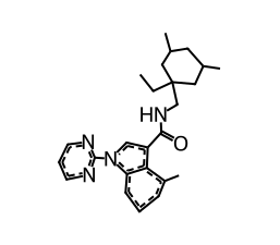 CCC1(CNC(=O)c2cn(-c3ncccn3)c3cccc(C)c23)CC(C)CC(C)C1